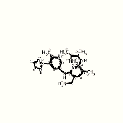 Cc1cc(CN)c(Nc2cnc(C)c(-n3nccn3)c2)nc1NC(C)[C@H](C)N